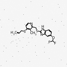 C=CCSc1ccnc(CSc2nc3cc(OC(F)F)ccc3[nH]2)c1C